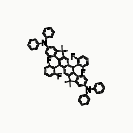 CC1(C)c2cc(N(c3ccccc3)c3ccccc3)ccc2-c2c1cc1c(-c3c(F)cccc3F)c3c(cc1c2-c1c(F)cccc1F)C(C)(C)c1cc(N(c2ccccc2)c2ccccc2)ccc1-3